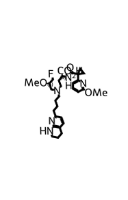 COc1cccc(C2(C(=O)N[C@@H](CCN(CCCCc3ccc4c(n3)NCCC4)C[C@@H](CF)OC)C(=O)O)CC2)n1